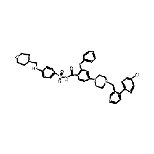 O=C(NS(=O)(=O)c1ccc(NCC2CCOCC2)cc1)c1ccc(N2CCN(Cc3ccccc3-c3ccc(Cl)cc3)CC2)cc1Sc1ccccc1